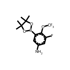 CC1(C)OB(c2cc(N)cc(F)c2OC(F)(F)F)OC1(C)C